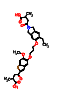 CCc1cc2c(cc1OCCCOc1cc3cc(C(=O)CC(C)C(=O)O)sc3cc1OC)CN(C(=O)CC(C)C(=O)O)C2